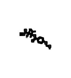 COCOc1ccc(C(=O)OC(C)(C(C)C)C(F)(F)C(=O)O)cc1